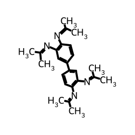 CC(C)=Nc1ccc(-c2ccc(N=C(C)C)c(N=C(C)C)c2)cc1N=C(C)C